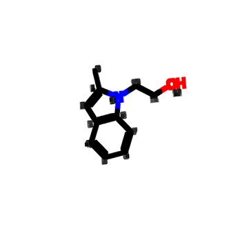 Cc1cc2[c]cccc2n1CCO